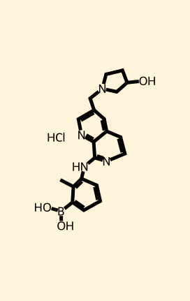 Cc1c(Nc2nccc3cc(CN4CCC(O)C4)cnc23)cccc1B(O)O.Cl